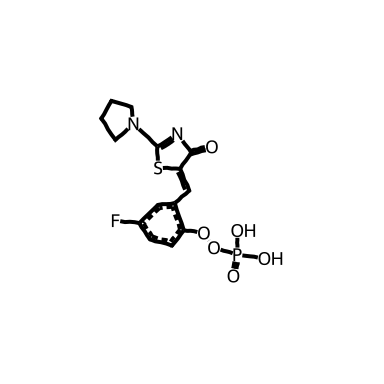 O=C1N=C(N2CCCC2)S/C1=C\c1cc(F)ccc1OOP(=O)(O)O